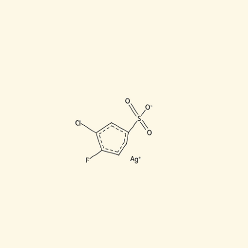 O=S(=O)([O-])c1ccc(F)c(Cl)c1.[Ag+]